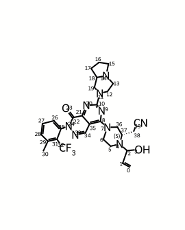 C=CC(O)N1CCN(c2nc(N3CCN4CCCC4C3)nc3c(=O)n(-c4cccc(C)c4C(F)(F)F)ncc23)C[C@@H]1CC#N